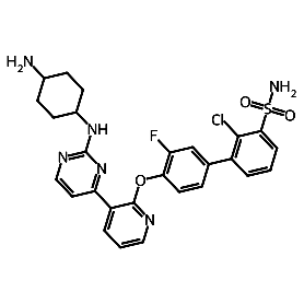 NC1CCC(Nc2nccc(-c3cccnc3Oc3ccc(-c4cccc(S(N)(=O)=O)c4Cl)cc3F)n2)CC1